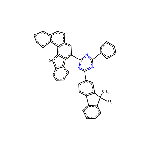 CC1(C)c2ccccc2-c2ccc(-c3nc(-c4ccccc4)nc(-c4cc5ccc6ccccc6c5c5[se]c6ccccc6c45)n3)cc21